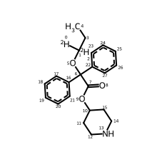 [2H]C([2H])(CC)OC(C(=O)OC1CCNCC1)(c1ccccc1)c1ccccc1